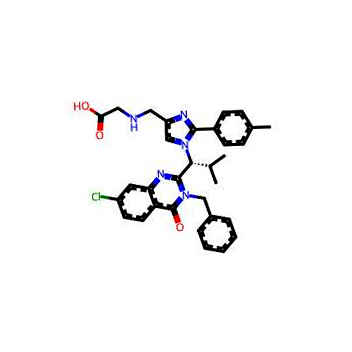 Cc1ccc(-c2nc(CNCC(=O)O)cn2[C@@H](c2nc3cc(Cl)ccc3c(=O)n2Cc2ccccc2)C(C)C)cc1